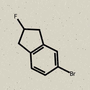 FC1Cc2ccc(Br)cc2C1